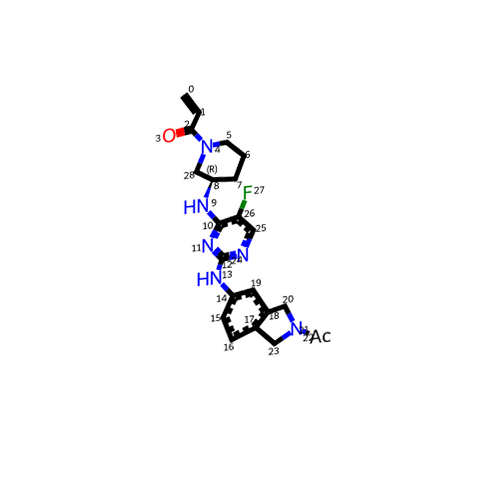 C=CC(=O)N1CCC[C@@H](Nc2nc(Nc3ccc4c(c3)CN(C(C)=O)C4)ncc2F)C1